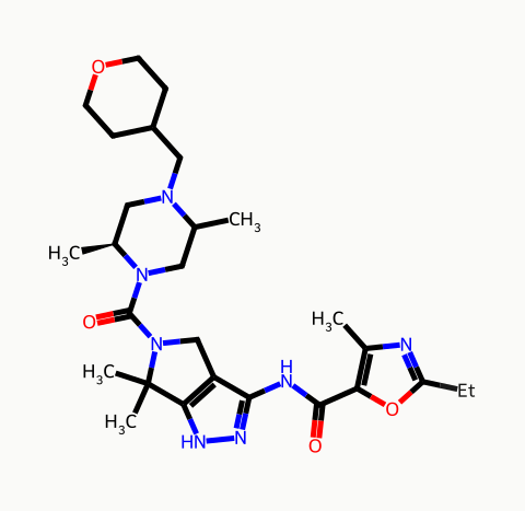 CCc1nc(C)c(C(=O)Nc2n[nH]c3c2CN(C(=O)N2CC(C)N(CC4CCOCC4)C[C@@H]2C)C3(C)C)o1